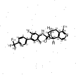 O=C(Nc1cc(F)c(-c2ccc(C(F)(F)F)nc2)cc1F)N1[C@H]2CC[C@@H]1c1ccnc(F)c1C2